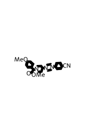 COC(=O)C(c1ccc(OC)cc1)N1CCC(N2CCN(c3ccc(C#N)cc3)CC2)CC1